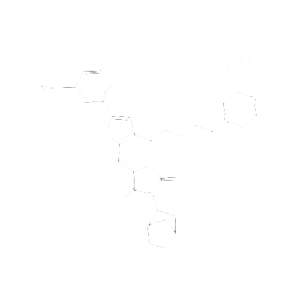 COc1cccc(-c2cc(CCCCCN3CCNCC3)c(C=C3SC(=S)N(C4CC5CCC4C5)C3=O)o2)c1.Cl.Cl